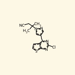 CC(C)(CC#N)n1cc(-c2nc(Cl)nc3sccc23)cn1